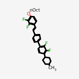 CCCCCCCCOc1ccc(/C=C/c2ccc(-c3ccc(C4CCC(C)CC4)c(F)c3F)cc2)c(F)c1F